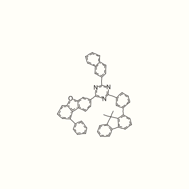 CC1(C)c2ccccc2-c2cccc(-c3cccc(-c4nc(-c5ccc6ccccc6c5)nc(-c5ccc6c(c5)oc5cccc(-c7ccccc7)c56)n4)c3)c21